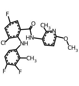 COc1ccc(NC(=O)c2cc(F)cc(Cl)c2Nc2ccc(F)c(F)c2C)c(C)n1